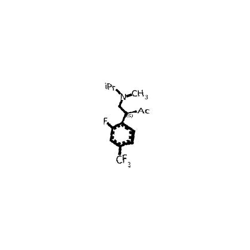 CC(=O)[C@H](CN(C)C(C)C)c1ccc(C(F)(F)F)cc1F